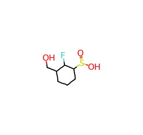 O=S(O)C1CCCC(CO)C1F